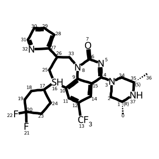 C[C@@H]1CN(c2nc(=O)n3c4c(cc(C(F)(F)F)cc24)[SH](C2CCC(F)(F)CC2)CC(c2ccccn2)C3)C[C@H](C)N1